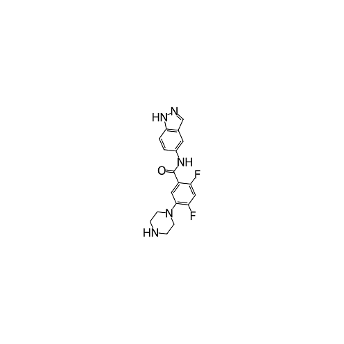 O=C(Nc1ccc2[nH]ncc2c1)c1cc(N2CCNCC2)c(F)cc1F